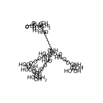 CC(C)(C)C(C)(OCCNC(=O)CCCCCCCCCCC(=O)NC(COCCC(=O)NCCOCCOCCOC1OC(CO)C(O)C(O)C1N)(COCCC(=O)NCCOCCOCCOC1OC(CO)C(O)C(O)C1N)COCCC(O)NCCOCCOCCOC1OC(CO)C(O)C(O)C1N)OCCNC(=O)OCc1ccccc1